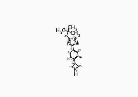 CC(C)(C)Cc1nc(-c2ccc(C3CNC3)cc2)no1